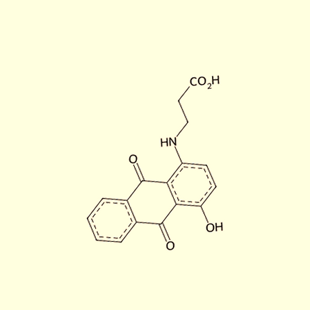 O=C(O)CCNc1ccc(O)c2c1C(=O)c1ccccc1C2=O